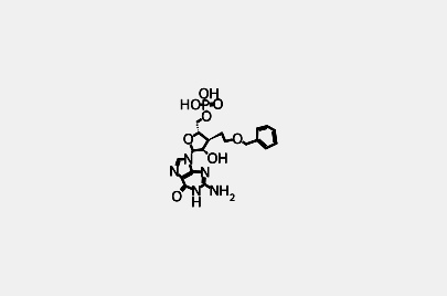 Nc1nc2c(ncn2[C@@H]2O[C@H](COP(=O)(O)O)[C@@H](CCOCc3ccccc3)[C@H]2O)c(=O)[nH]1